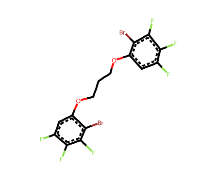 Fc1cc(OCCCOc2cc(F)c(F)c(F)c2Br)c(Br)c(F)c1F